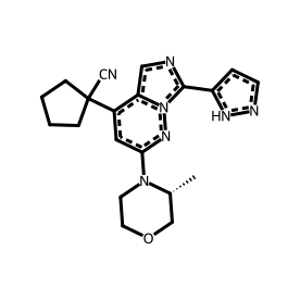 C[C@@H]1COCCN1c1cc(C2(C#N)CCCC2)c2cnc(-c3ccn[nH]3)n2n1